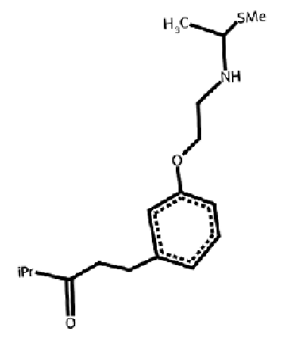 CSC(C)NCCOc1cccc(CCC(=O)C(C)C)c1